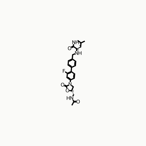 CC(=O)NC[C@H]1CN(c2ccc(-c3ccc(CN[C@H](CC(C)C)C(N)=O)cc3)c(F)c2)C(=O)O1